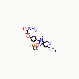 CCS(=O)(=O)c1cc(OC(C)(C)C(N)=O)ccc1-c1nc2cc(C(F)(F)F)ncc2n1C